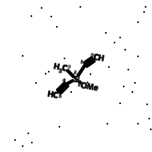 C#C[Si](C)(C#C)OC